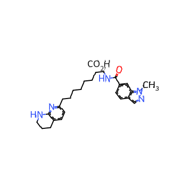 Cn1ncc2ccc(C(=O)N[C@H](CCCCCCCc3ccc4c(n3)NCCC4)C(=O)O)cc21